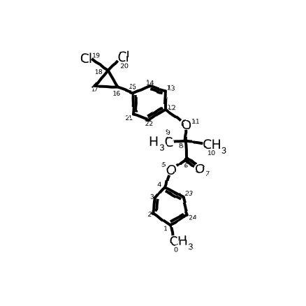 Cc1ccc(OC(=O)C(C)(C)Oc2ccc(C3CC3(Cl)Cl)cc2)cc1